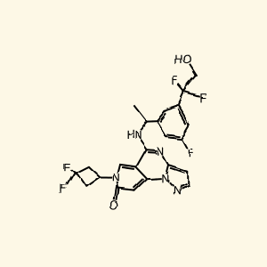 CC(Nc1nc2ccnn2c2cc(=O)n(C3CC(F)(F)C3)cc12)c1cc(F)cc(C(F)(F)CO)c1